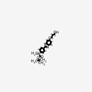 CN(C(=O)OC(C)(C)C)c1ccc(-c2nc3ccc(OCCCO)cc3s2)cc1